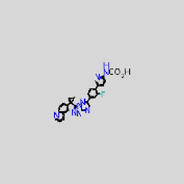 O=C(O)Nc1ccc(-c2ccc(-c3cnc4nnc(C5(c6ccc7ncccc7c6)CC5)n4n3)cc2F)cn1